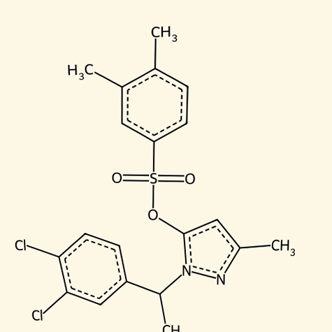 Cc1cc(OS(=O)(=O)c2ccc(C)c(C)c2)n(C(C)c2ccc(Cl)c(Cl)c2)n1